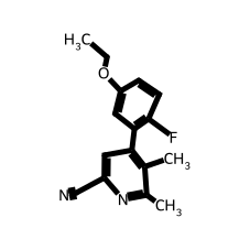 CCOc1ccc(F)c(-c2cc(C#N)nc(C)c2C)c1